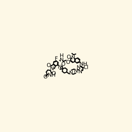 CNC(=O)COc1cc2cc(Nc3nc(N4CCN(CC5CCC6(CC5)CN(c5cc(F)cc7c5CN(C5CCC(=O)NC5=O)C7=O)C6)CC4)ncc3Cl)ccc2n(C(C)C)c1=O